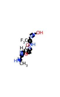 Cc1cc(-c2cc3c(Oc4ccc5c(c4)C(C)N(C(=O)Nc4ccc(CN6CCN(CCO)CC6)c(C(F)(F)F)c4)CC5)c(C)cnn3c2)n[nH]1